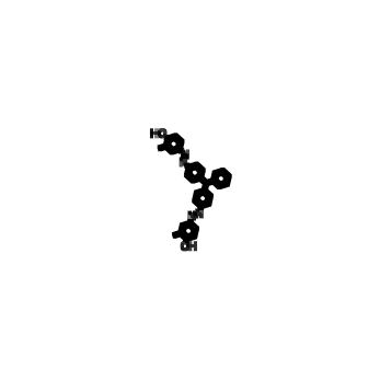 Cc1cc(/N=N/c2ccc(C(c3ccccc3)c3ccc(/N=N/c4ccc(O)c(C)c4)cc3)cc2)ccc1O